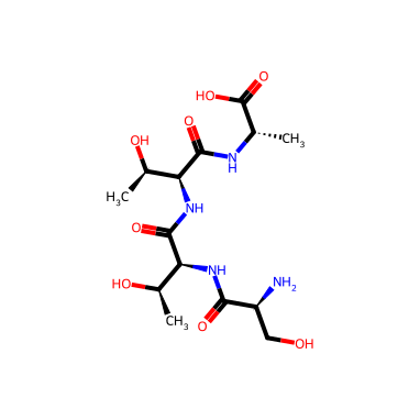 C[C@H](NC(=O)[C@@H](NC(=O)[C@@H](NC(=O)[C@@H](N)CO)[C@@H](C)O)[C@@H](C)O)C(=O)O